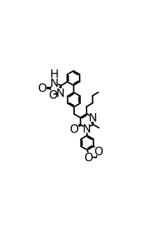 CCCCc1nc(C)n(-c2ccc3c(c2)OCO3)c(=O)c1Cc1ccc(-c2ccccc2-c2noc(=O)[nH]2)cc1